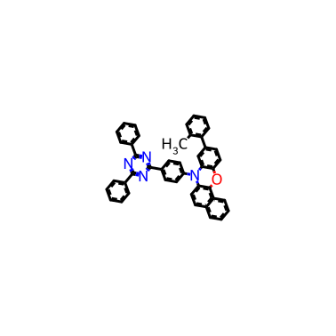 Cc1ccccc1-c1ccc2c(c1)N(c1ccc(-c3nc(-c4ccccc4)nc(-c4ccccc4)n3)cc1)c1ccc3ccccc3c1O2